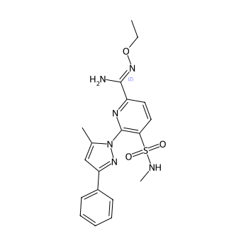 CCO/N=C(\N)c1ccc(S(=O)(=O)NC)c(-n2nc(-c3ccccc3)cc2C)n1